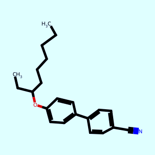 CCCCCCC(CC)Oc1ccc(-c2ccc(C#N)cc2)cc1